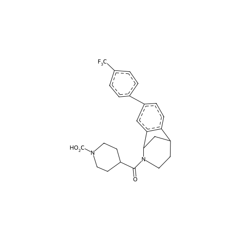 O=C(O)N1CCC(C(=O)N2CCC3CC2c2cc(-c4ccc(C(F)(F)F)cc4)ccc23)CC1